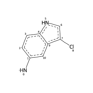 [NH]c1ccc2[nH]cc(Cl)c2c1